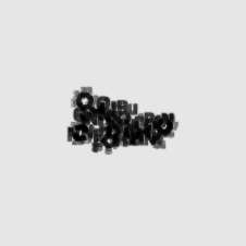 CCC[C@@H](NC(=O)[C@@H]1[C@H]2CCC(F)(F)C2CN1C(=O)[C@@H](NC(=O)[C@H](NC(=O)c1cnccn1)C1CCCCC1)C(C)(C)C)C(=O)C(=O)N[C@H](C)c1ccncc1